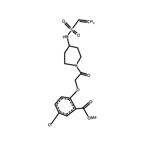 C=CS(=O)(=O)NC1CCN(C(=O)COc2ccc(Cl)cc2C(=O)OC)CC1